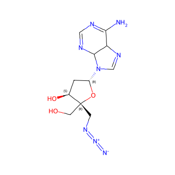 [N-]=[N+]=NC[C@]1(CO)O[C@@H](N2C=NC3C(N)=NC=NC32)C[C@@H]1O